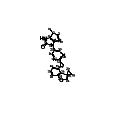 CC1C=Nc2c1[nH]c(=O)n2-c1cnc(Oc2cccc3c2C2(CC2)CO3)nc1